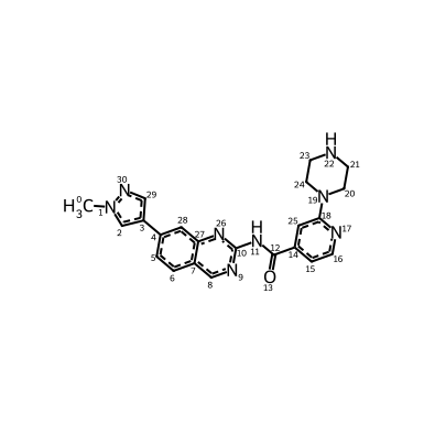 Cn1cc(-c2ccc3cnc(NC(=O)c4ccnc(N5CCNCC5)c4)nc3c2)cn1